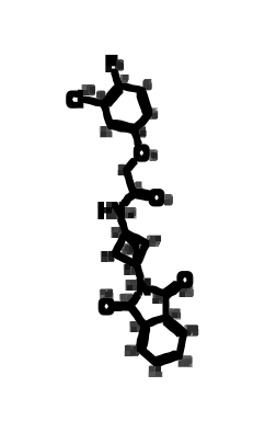 O=C(COc1ccc(F)c(Cl)c1)NC12CC(N3C(=O)c4ccccc4C3=O)(C1)C2